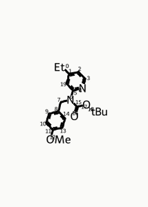 CCc1ccnc(N(Cc2ccc(OC)cc2)C(=O)OC(C)(C)C)c1